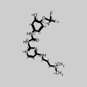 CN(C)CCCNc1ccnc(NC(=O)Nc2ccc(OC(F)(F)F)c(Cl)c2)n1